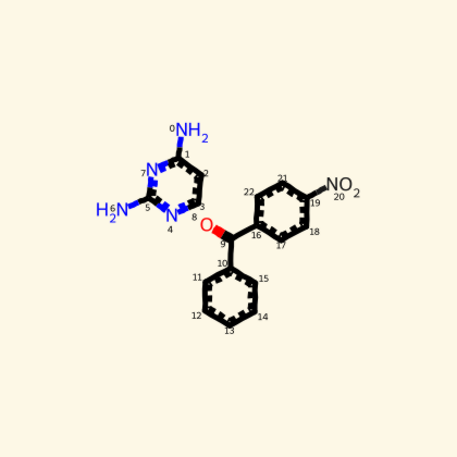 Nc1ccnc(N)n1.O=C(c1ccccc1)c1ccc([N+](=O)[O-])cc1